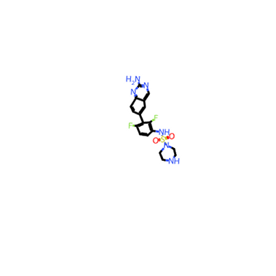 Nc1ncc2cc(-c3c(F)ccc(NS(=O)(=O)N4CCNCC4)c3F)ccc2n1